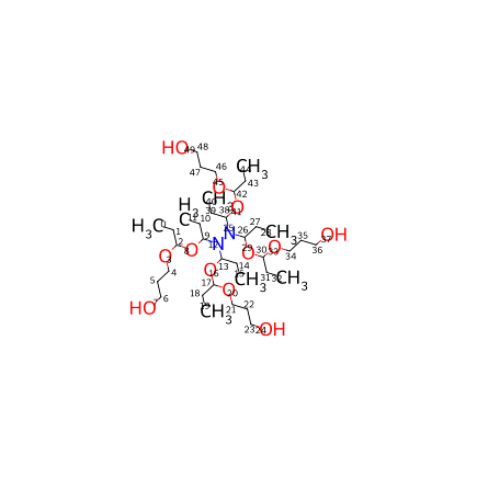 CCC(OCCCO)OC(CC)N(C(CC)OC(CC)OCCCO)N(C(CC)OC(CC)OCCCO)C(CC)OC(CC)OCCCO